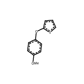 COc1ccc(Oc2cc[c]s2)cc1